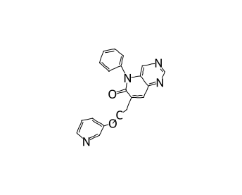 O=c1c(CCOc2cccnc2)cc2ncncc2n1-c1ccccc1